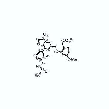 CCOC(=O)Cc1ccc(OC)cc1OCc1cc(-c2ccnc(CN[S@@+]([O-])C(C)(C)C)c2F)c2occ(C(F)(F)F)c2c1